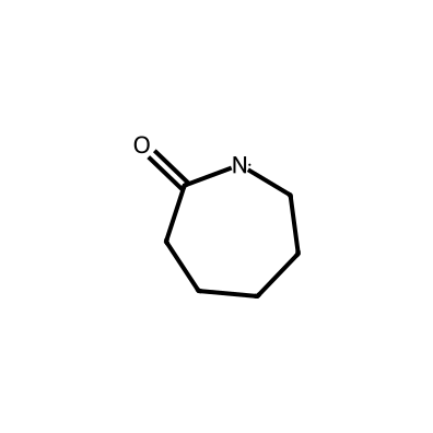 O=C1CCCCC[N]1